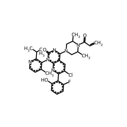 C=CC(=O)N1C(C)CN(c2nc(=O)n(-c3c(C)ccnc3C(C)C)c3nc(-c4c(O)cccc4F)c(Cl)cc23)CC1C